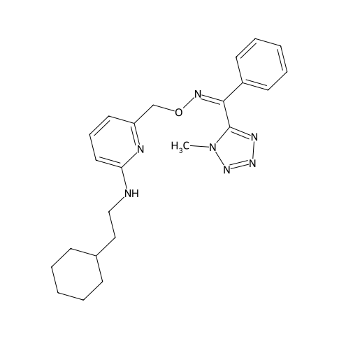 Cn1nnnc1/C(=N\OCc1cccc(NCCC2CCCCC2)n1)c1ccccc1